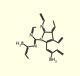 B/C(C=C)=C/C1=C(C=C)C(=C/C)/C(=N\C=C)N1C(/N=C\C)=N/C(B)=C\C